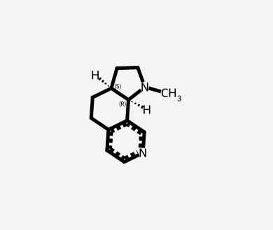 CN1CC[C@@H]2CCc3ccncc3[C@@H]21